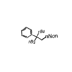 CCCCCCCCCCC(CCCC)(CCCC)c1[c]cccc1